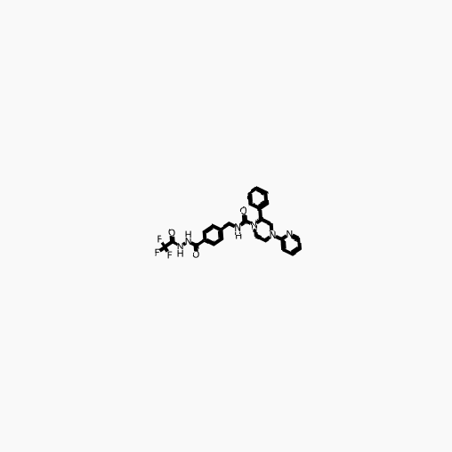 O=C(NNC(=O)C(F)(F)F)c1ccc(CNC(=O)N2CCN(c3ccccn3)CC2c2ccccc2)cc1